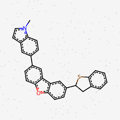 Cn1ccc2cc(-c3ccc4oc5ccc(C6Cc7ccccc7S6)cc5c4c3)ccc21